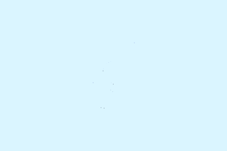 Oc1ccc(CCCBr)cc1